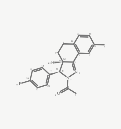 CC(=O)N1N=C2c3cc(C)ccc3CC[C@H]2[C@@H]1c1ccc(F)cc1